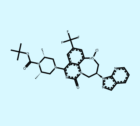 C[C@@H]1CN(c2nc(=O)n3c4c(cc(C(F)(F)F)cc24)[SH](Cl)C[C@@H](n2ncc4cccnc42)C3)C[C@H](C)N1C(=O)OC(C)(C)C